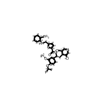 CC(C)Oc1cc([C@H](Cc2c(Cl)cncc2Cl)OC(=O)c2ccc(CNc3ccccc3P)s2)ccc1OC(F)F